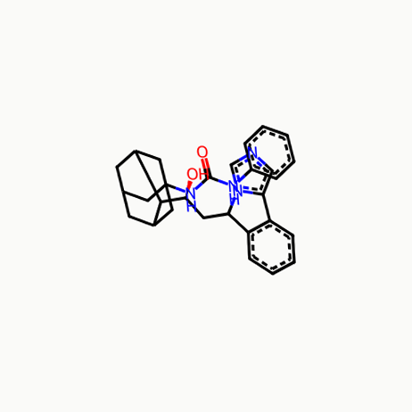 O=C(Nc1ccccc1)NC12CC3CC(C1)C([C@@H](O)CC1c4ccccc4-c4cncn41)C(C3)C2